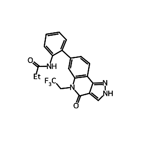 CCC(=O)Nc1ccccc1-c1ccc2c3n[nH]cc3c(=O)n(CC(F)(F)F)c2c1